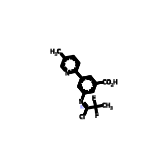 Cc1ccc(-c2cc(/N=C(/Cl)C(C)(F)F)cc(C(=O)O)c2)nc1